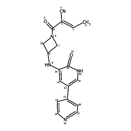 CC=C(C#N)C(=O)N1CC(Nc2cc(-c3ccncc3)c[nH]c2=O)C1